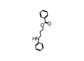 O=C(OCCCNc1ccccc1)c1ccccc1